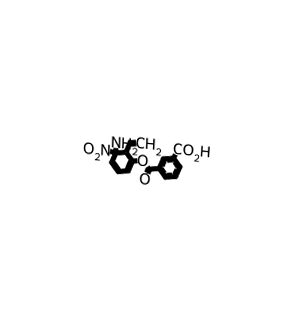 C=CC1C(OC(=O)c2cccc(C(=O)O)c2)=CC=CC1(N)[N+](=O)[O-]